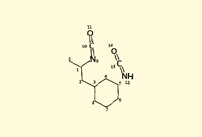 CC(CC1CCCCC1)N=C=O.N=C=O